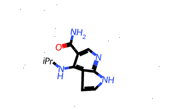 CC(C)Nc1c(C(N)=O)cnc2[nH]ccc12